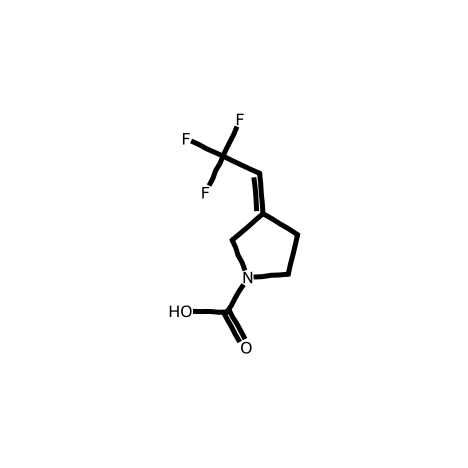 O=C(O)N1CC/C(=C/C(F)(F)F)C1